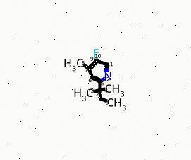 CCC(C)(C)c1cc(C)c(F)cn1